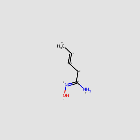 CC=CCC(N)=NO